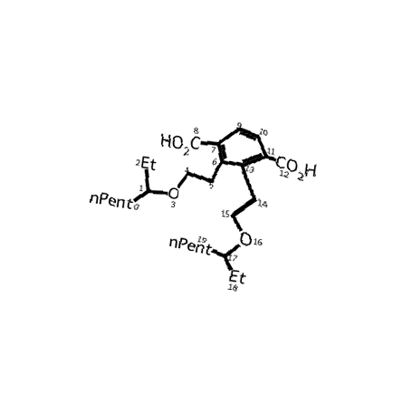 CCCCCC(CC)OCCc1c(C(=O)O)ccc(C(=O)O)c1CCOC(CC)CCCCC